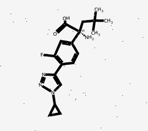 CC(C)(C)C[C@](N)(C(=O)O)c1ccc(-c2cn(C3CC3)nn2)c(F)c1